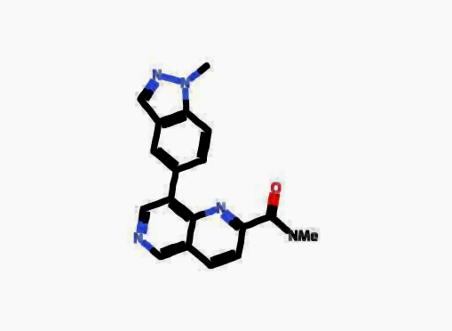 CNC(=O)c1ccc2cncc(-c3ccc4c(cnn4C)c3)c2n1